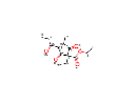 CCOC(=O)C(CC)(C(=O)CC)C(=O)CC(=O)CC